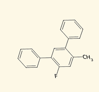 Cc1cc(F)c(-c2ccccc2)cc1-c1ccccc1